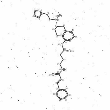 CCCN(CCc1cccs1)[C@H]1CCc2c(cccc2OC(=O)CCCNC(=O)/C=C/c2ccccc2)C1